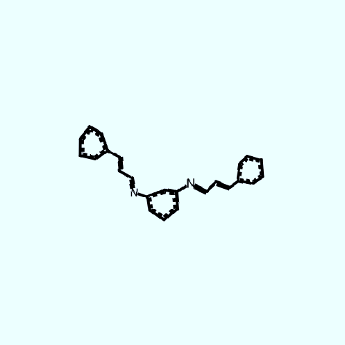 C(=Cc1ccccc1)C=Nc1cccc(N=CC=Cc2ccccc2)c1